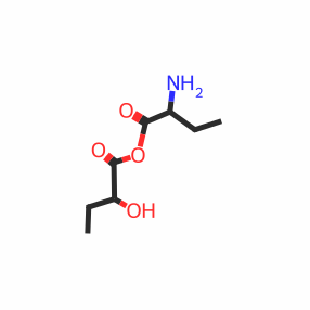 CCC(N)C(=O)OC(=O)C(O)CC